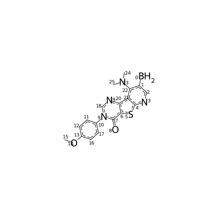 Bc1cnc2sc3c(=O)n(-c4ccc(OC)cc4)cnc3c2c1N(C)C